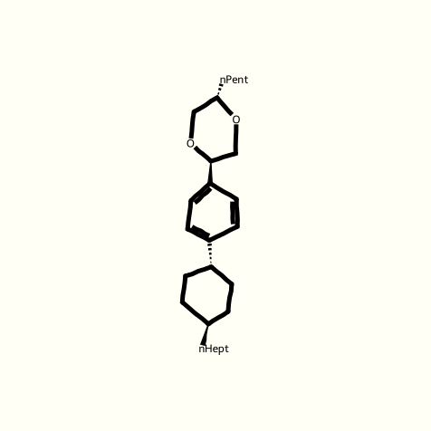 CCCCCCC[C@H]1CC[C@H](c2ccc([C@@H]3CO[C@@H](CCCCC)CO3)cc2)CC1